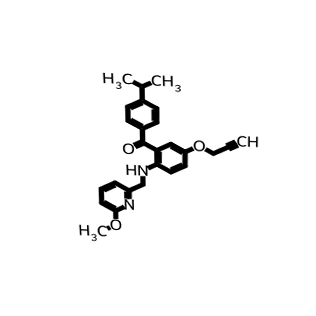 C#CCOc1ccc(NCc2cccc(OC)n2)c(C(=O)c2ccc(C(C)C)cc2)c1